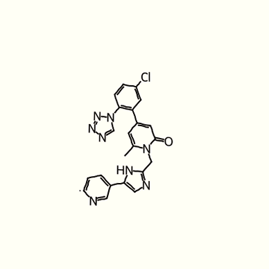 Cc1cc(-c2cc(Cl)ccc2-n2cnnn2)cc(=O)n1Cc1ncc(-c2cc[c]nc2)[nH]1